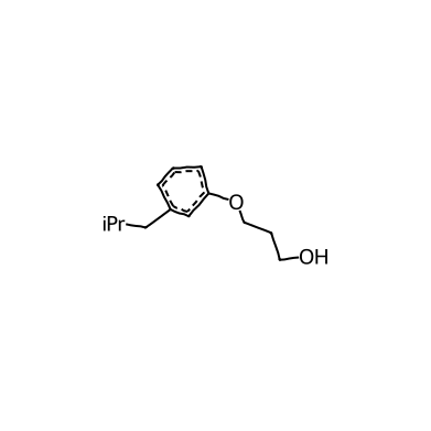 CC(C)Cc1cccc(OCCCO)c1